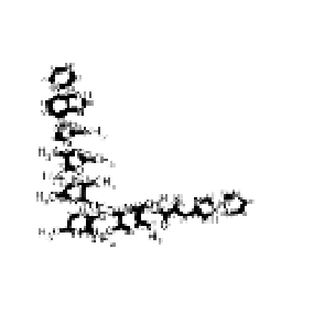 Cc1cnc(C)c(C)n1.Cc1cnc(C)c(C)n1.Cc1nc(C)c(C)nc1C.Cc1nc(C)c(C)o1.NC(Cc1c[nH]cn1)C(=O)O.Nc1nncs1.c1ccc2[nH]cnc2c1.c1cnccn1.c1cnncn1